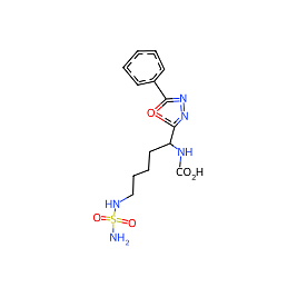 NS(=O)(=O)NCCCCC(NC(=O)O)c1nnc(-c2ccccc2)o1